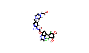 COc1cc(OC)c(Cl)c(-c2ccc(OC(=O)Nc3ccc(CN4CCN(CCO)CC4)cn3)c3nccnc23)c1Cl